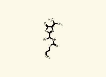 C=CCOC(=O)NC(C1=NC(=C(C)C)C(=O)O1)C(C)C